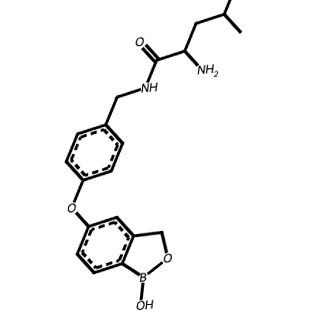 CC(C)CC(N)C(=O)NCc1ccc(Oc2ccc3c(c2)COB3O)cc1